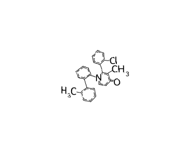 Cc1ccccc1-c1ccccc1-n1ccc(=O)c(C)c1-c1ccccc1Cl